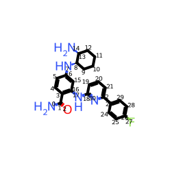 NC(=O)c1ccc(N[C@@H]2CCCC[C@@H]2N)cc1Nc1cccc(-c2ccc(F)cc2)n1